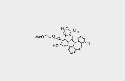 COCCOCOC1=C2C(=O)N([C@H](C)C(F)(F)F)CN([C@@H]3c4ccccc4SCc4c(Cl)cccc43)N2C=CC1O